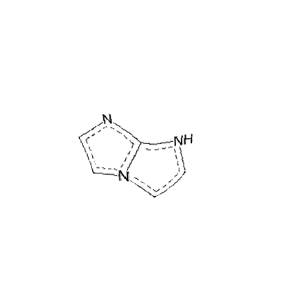 c1cn2cc[nH]c2n1